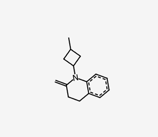 C=C1CCc2ccccc2N1C1CC(C)C1